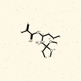 C=C(C)C(=O)OC(CCC)[SiH2]C(CC)(OC)OC